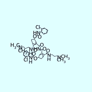 CN(C)CCCNC(=O)C1C2CC(OC(=O)Nc3ccccc3Cl)C(C2)C1C(=O)NC(=O)C1C2CC(CC2OC(=O)Nc2ccccc2Cl)C1C(=O)NCCCN(C)C